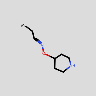 CC(C)C/C=N/OC1CCNCC1